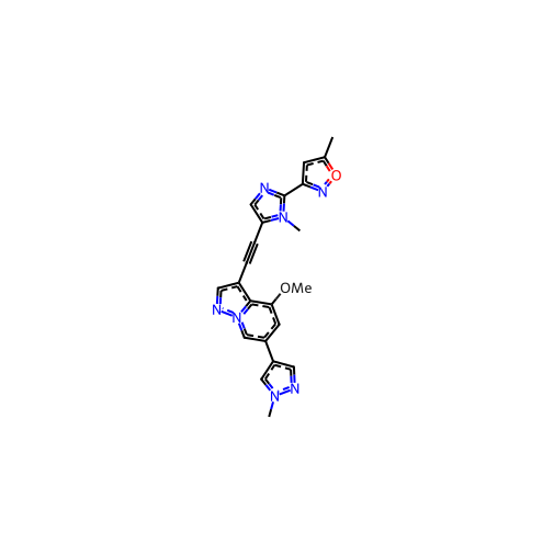 COc1cc(-c2cnn(C)c2)cn2ncc(C#Cc3cnc(-c4cc(C)on4)n3C)c12